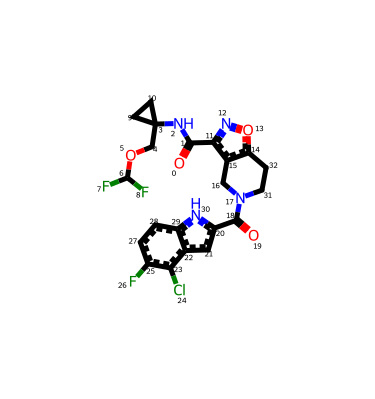 O=C(NC1(COC(F)F)CC1)c1noc2c1CN(C(=O)c1cc3c(Cl)c(F)ccc3[nH]1)CC2